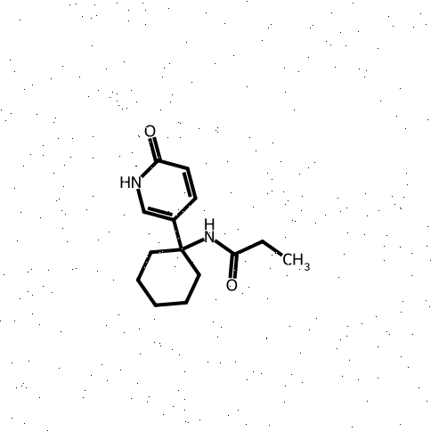 CCC(=O)NC1(c2ccc(=O)[nH]c2)CCCCC1